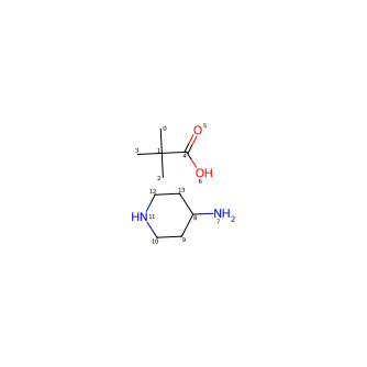 CC(C)(C)C(=O)O.NC1CCNCC1